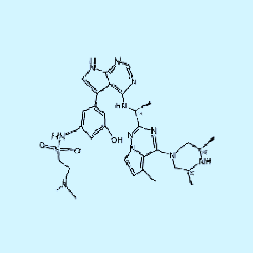 Cc1ccn2nc([C@H](C)Nc3ncnc4[nH]cc(-c5cc(O)cc(NS(=O)(=O)CCN(C)C)c5)c34)nc(N3C[C@@H](C)N[C@@H](C)C3)c12